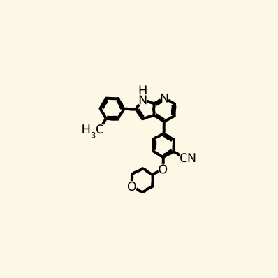 Cc1cccc(-c2cc3c(-c4ccc(OC5CCOCC5)c(C#N)c4)ccnc3[nH]2)c1